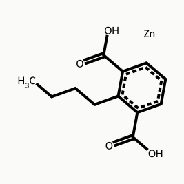 CCCCc1c(C(=O)O)cccc1C(=O)O.[Zn]